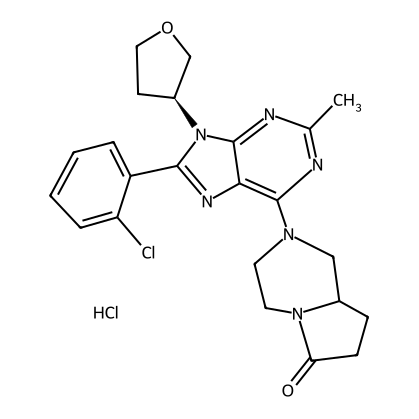 Cc1nc(N2CCN3C(=O)CCC3C2)c2nc(-c3ccccc3Cl)n([C@H]3CCOC3)c2n1.Cl